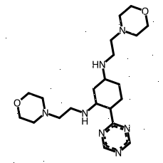 c1ncnc(C2CCC(NCCN3CCOCC3)CC2NCCN2CCOCC2)n1